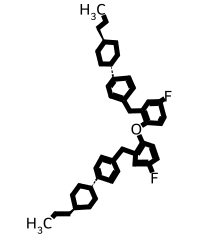 CCC[C@H]1CC[C@H](c2ccc(Cc3cc(F)ccc3Oc3ccc(F)cc3Cc3ccc([C@H]4CC[C@H](CCC)CC4)cc3)cc2)CC1